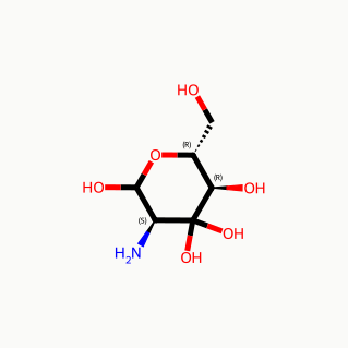 N[C@H]1C(O)O[C@H](CO)[C@@H](O)C1(O)O